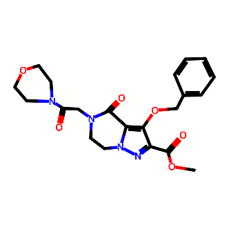 COC(=O)c1nn2c(c1OCc1ccccc1)C(=O)N(CC(=O)N1CCOCC1)CC2